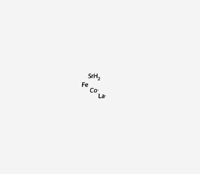 [Co].[Fe].[La].[SrH2]